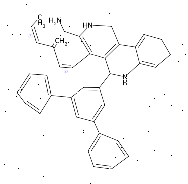 C=C(/C=C\C)/C=C\C1=C(CN)NCC2=C1C(c1cc(-c3ccccc3)cc(-c3ccccc3)c1)NC1=CCCC=C12